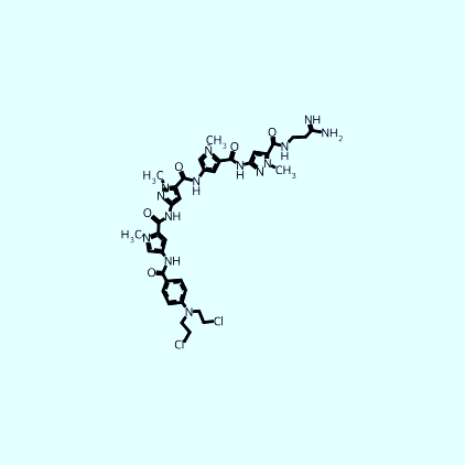 Cn1cc(NC(=O)c2cc(NC(=O)c3cc(NC(=O)c4ccc(N(CCCl)CCCl)cc4)cn3C)nn2C)cc1C(=O)Nc1cc(C(=O)NCCC(=N)N)n(C)n1